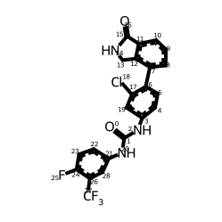 O=C(Nc1ccc(-c2cccc3c2CNC3=O)c(Cl)c1)Nc1ccc(F)c(C(F)(F)F)c1